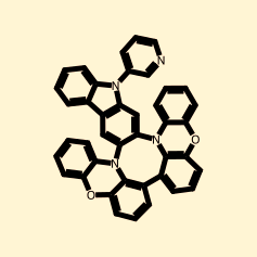 c1cncc(-n2c3ccccc3c3cc4c(cc32)n2c3ccccc3oc3cccc(c5cccc6oc7ccccc7n4c65)c32)c1